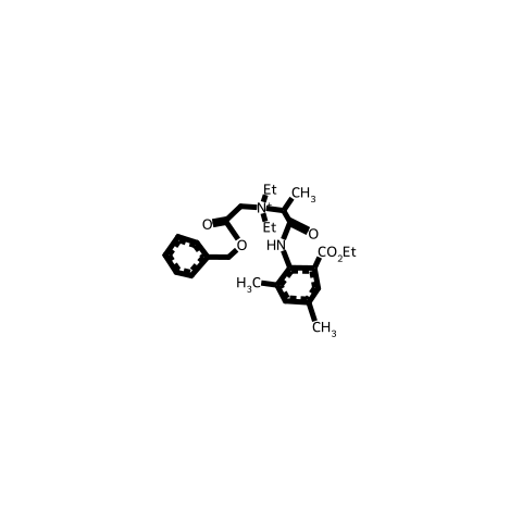 CCOC(=O)c1cc(C)cc(C)c1NC(=O)C(C)[N+](CC)(CC)CC(=O)OCc1ccccc1